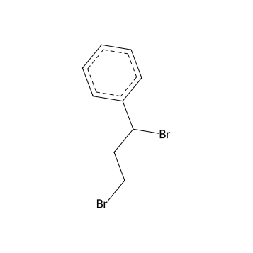 BrCCC(Br)c1ccccc1